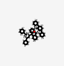 c1ccc(-c2cc(-c3ccc(-n4c5ccccc5c5ccc6c7ccccc7n(-c7ccccc7)c6c54)c4ccccc34)nc(-c3ccccc3)n2)cc1